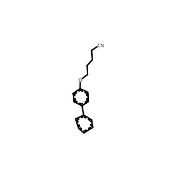 N#CCCCCOc1ccc(-c2ccccc2)cc1